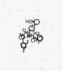 C[C@@H](NC(=O)[C@H]1CN([C@@H]2CCCC[C@H]2O)CC[C@@H]1NC(=O)c1cc(-c2ccc(F)cc2F)on1)c1ccccn1